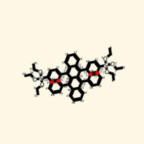 CCO[Si](OCC)(OCC)c1ccc(-c2c3ccccc3c(-c3ccc([Si](OCC)(OCC)OCC)cc3)c3c(-c4ccccc4)c4ccccc4c(-c4ccccc4)c23)cc1